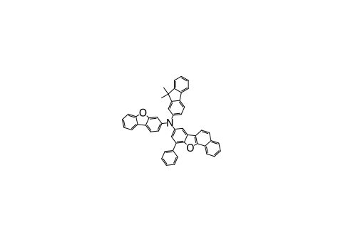 CC1(C)c2ccccc2-c2ccc(N(c3ccc4c(c3)oc3ccccc34)c3cc(-c4ccccc4)c4oc5c6ccccc6ccc5c4c3)cc21